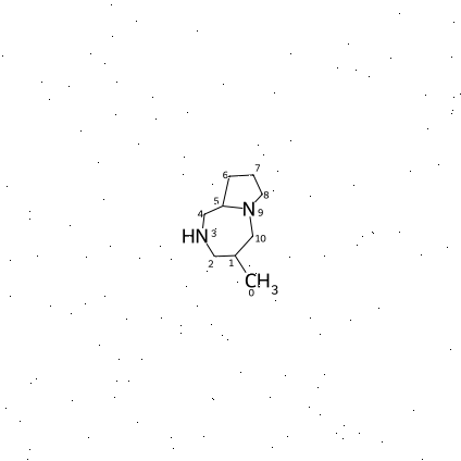 CC1CNCC2CCCN2C1